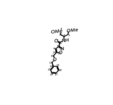 COCC(COC)NC(=O)c1cc(COCc2ccccc2)on1